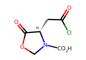 O=C(Cl)C[C@H]1C(=O)OCN1C(=O)O